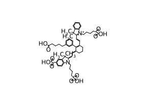 CC1(C)C(/C=C/C2=C(c3cccc(CCCCC(=O)O)c3)C(=C/C=C3/N(CCCCS(=O)(=O)O)c4ccc(S(=O)(=O)O)cc4C3(C)C)/CCC2)=[N+](CCCCS(=O)(=O)O)c2ccccc21